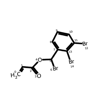 C=CC(=O)OC(Br)c1cccc(Br)c1Br